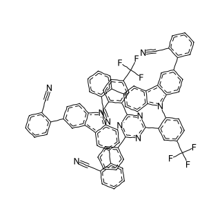 N#Cc1ccccc1-c1ccc2c(c1)c1cc(-c3ccccc3C#N)ccc1n2-c1ccc(C(F)(F)F)cc1-c1nc(-c2ccccc2)nc(-c2cc(C(F)(F)F)ccc2-n2c3ccc(-c4ccccc4C#N)cc3c3cc(-c4ccccc4C#N)ccc32)n1